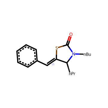 CCCCN1C(=O)S/C(=C\c2ccccc2)C1CCC